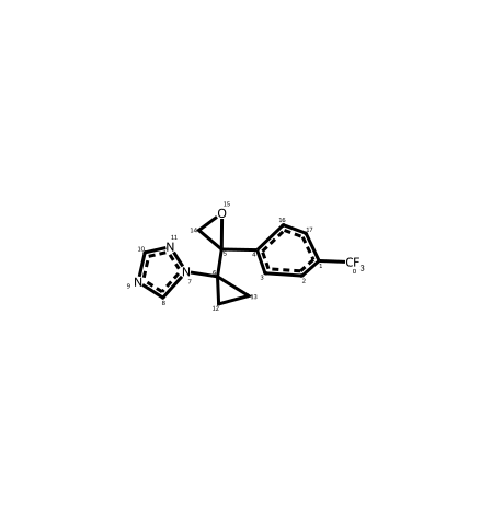 FC(F)(F)c1ccc(C2(C3(n4cncn4)CC3)CO2)cc1